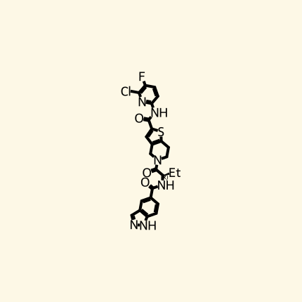 CC[C@@H](NC(=O)c1ccc2[nH]ncc2c1)C(=O)N1CCc2sc(C(=O)Nc3ccc(F)c(Cl)n3)cc2C1